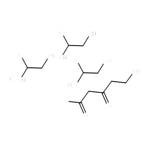 CCC(C)[O-].CCC(C)[O-].CCC(C)[O-].CCCC(=O)CC(=O)[O-].[Ti+4]